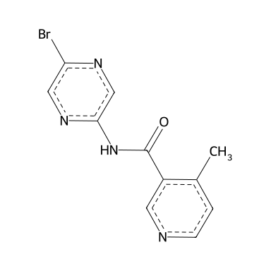 Cc1ccncc1C(=O)Nc1cnc(Br)cn1